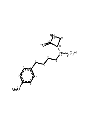 COc1ccc(CCCCN(C(=O)O)[C@H]2CNC2=O)cc1